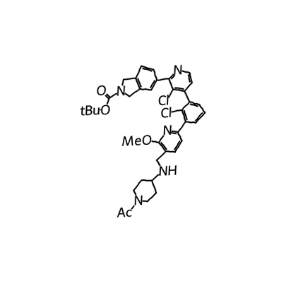 COc1nc(-c2cccc(-c3ccnc(-c4ccc5c(c4)CN(C(=O)OC(C)(C)C)C5)c3Cl)c2Cl)ccc1CNC1CCN(C(C)=O)CC1